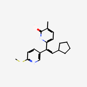 CSc1ccc(C(=CC2CCCC2)c2ccc(C)c(=O)[nH]2)cn1